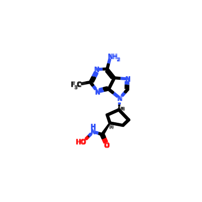 Nc1nc(C(F)(F)F)nc2c1ncn2[C@@H]1CC[C@@H](C(=O)NO)C1